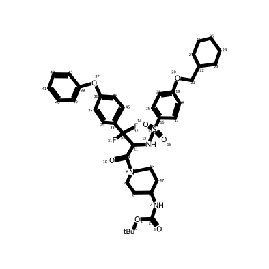 CC(C)(C)OC(=O)NC1CCN(C(=O)C(NS(=O)(=O)c2ccc(OCC3CCCCC3)cc2)C(F)(F)c2ccc(Oc3ccccc3)cc2)CC1